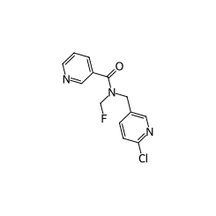 O=C(c1cccnc1)N(CF)Cc1ccc(Cl)nc1